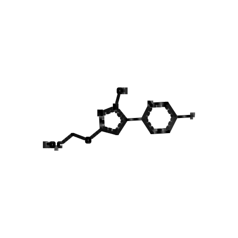 CCOC(=O)COc1cc(-c2ccc(F)cn2)n(O)n1